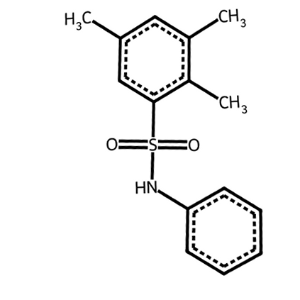 Cc1cc(C)c(C)c(S(=O)(=O)Nc2ccccc2)c1